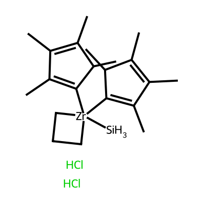 CC1=C(C)C(C)[C]([Zr]2([SiH3])([C]3=C(C)C(C)=C(C)C3C)[CH2]C[CH2]2)=C1C.Cl.Cl